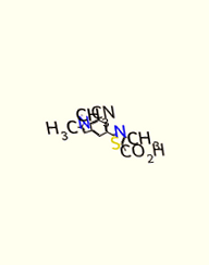 Cc1nc(-c2cc(C#N)c3c(c2)cc(C)n3C)sc1C(=O)O